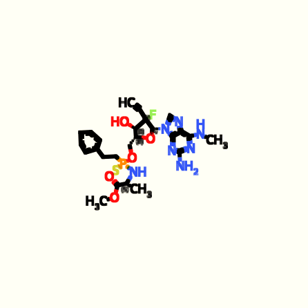 C#C[C@@]1(F)[C@H](O)[C@@H](COP(=S)(CCc2ccccc2)N[C@@H](C)C(=O)OC)O[C@H]1n1cnc2c(NC)nc(N)nc21